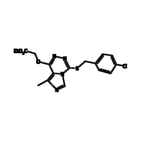 CCOC(=O)COc1nnc(SCc2ccc(Cl)cc2)n2cnc(C)c12